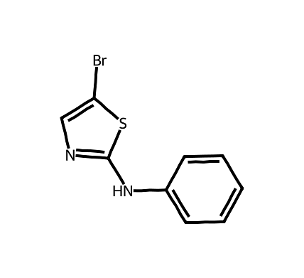 Brc1cnc(Nc2ccccc2)s1